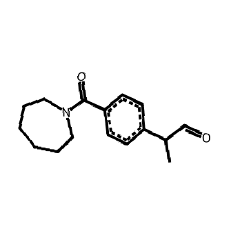 CC(C=O)c1ccc(C(=O)N2CCCCCC2)cc1